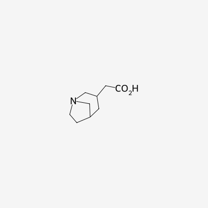 O=C(O)CC1CC2CCN(C2)C1